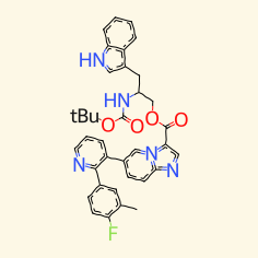 Cc1cc(-c2ncccc2-c2ccc3ncc(C(=O)OCC(Cc4c[nH]c5ccccc45)NC(=O)OC(C)(C)C)n3c2)ccc1F